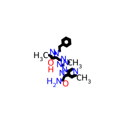 Cc1cc2c(C(N)=O)nn(-c3nc(-c4c(O)c(C)nn4CCc4ccccc4)nn3C)c2cn1